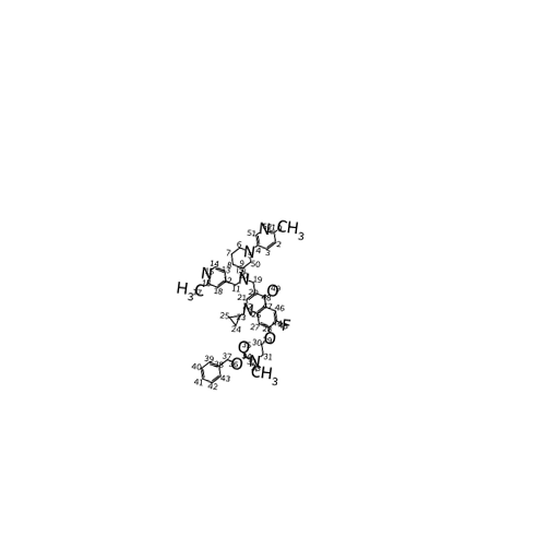 Cc1ccc(N2CCC[C@H](N(Cc3ccnc(C)c3)Cc3cn(C4CC4)c4cc(OCCN(C)C(=O)OCc5ccccc5)c(F)cc4c3=O)C2)cn1